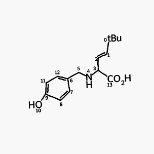 CC(C)(C)/C=C/C(NCc1ccc(O)cc1)C(=O)O